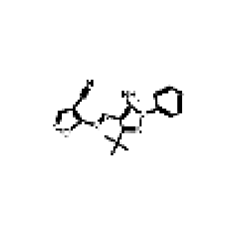 CC(C)(C)c1nn(-c2ccccc2)c(N)c1/N=N/c1oncc1C#N